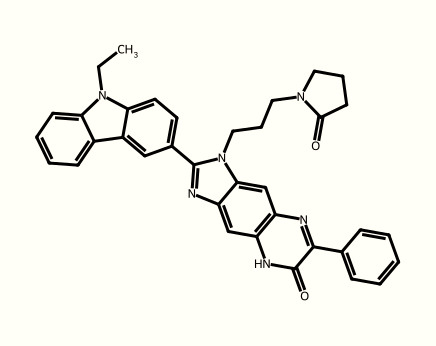 CCn1c2ccccc2c2cc(-c3nc4cc5[nH]c(=O)c(-c6ccccc6)nc5cc4n3CCCN3CCCC3=O)ccc21